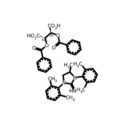 Cc1cccc(C)c1N1CC(C)N(c2c(C)cccc2C)C1=N.O=C(O[C@H](C(=O)O)[C@H](OC(=O)c1ccccc1)C(=O)O)c1ccccc1